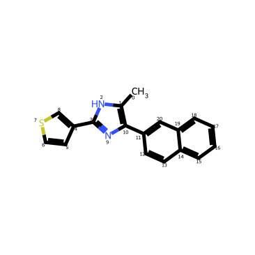 Cc1[nH]c(-c2ccsc2)nc1-c1ccc2ccccc2c1